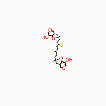 CC(C)(CCC(=S)CCC(=S)CCC(C)(C)Cc1cocc(O)c1=O)Cc1cocc(O)c1=O